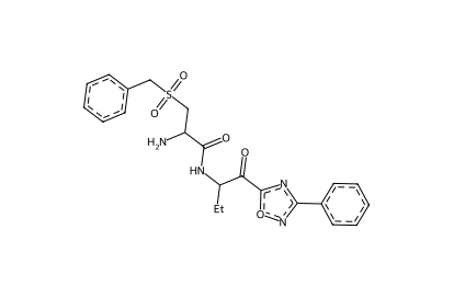 CCC(NC(=O)C(N)CS(=O)(=O)Cc1ccccc1)C(=O)c1nc(-c2ccccc2)no1